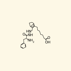 N[C@@H](Cc1ccccc1)C(=O)NNCC1C2CCC(O2)C1CCCCCCC(=O)O